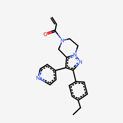 C=CC(=O)N1CCn2nc(-c3ccc(CC)cc3)c(-c3ccncc3)c2C1